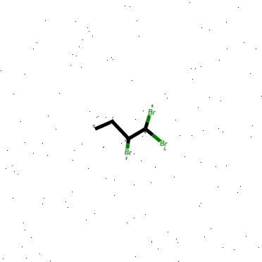 CCC(Br)C(Br)Br